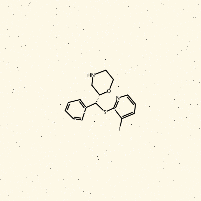 Ic1cccnc1SC(c1ccccc1)[C@@H]1CNCCO1